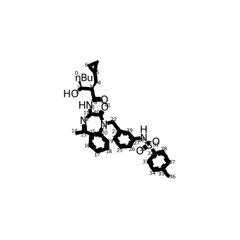 CCCC[C@H](O)[C@@H](CC1CC1)C(=O)NC1N=C(C)c2ccccc2N(Cc2cccc(NS(=O)(=O)c3ccc(C)cc3)c2)C1=O